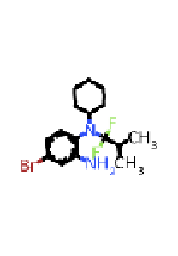 CC(C)C(F)(F)N(c1ccc(Br)cc1N)C1CCCCC1